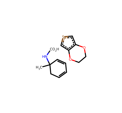 CC1(NC(=O)O)C=CC=CC1.c1scc2c1OCCO2